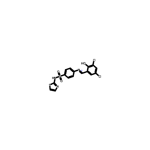 O=S(=O)(Nc1nccs1)c1ccc(/N=C/c2cc(Cl)cc(Cl)c2O)cc1